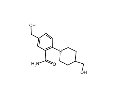 NC(=O)c1cc(CO)ccc1N1CCC(CO)CC1